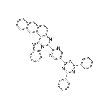 c1ccc(-c2nc(-c3ccccc3)nc(-c3cnc(-c4nc5ccc6cc7ccccc7cc6c5c5nc6ccccc6n45)nc3)n2)cc1